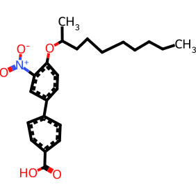 CCCCCCCCC(C)Oc1ccc(-c2ccc(C(=O)O)cc2)cc1[N+](=O)[O-]